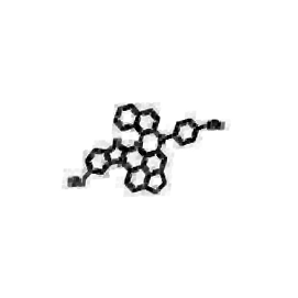 CC(C)(C)c1ccc(B2c3ccc4ccccc4c3-n3c4c2cc2c5c(ccc(c54)n4c5cc(C(C)(C)C)ccc5nc34)CC2)cc1